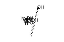 CCCCCCCCCCCCCCCCO.O=S(=O)(O)O.O=[SH](=O)O.[NaH]